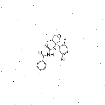 O=C(NC1=NCC2COCC2(c2cc(Br)ccc2F)S1)c1ccccc1